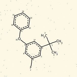 CC(C)(C)c1cc(F)cc(Oc2ccccc2)c1